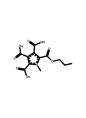 CCCOC(=O)c1c(C(=O)O)c(C(=O)O)c(C(=O)O)n1C